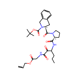 C=CCOC(=O)CNC(=O)C(=O)C(CCC)NC(=O)[C@@H]1CCCN1C(=O)[C@@H]1Cc2ccccc2CN1C(=O)OC(C)(C)C